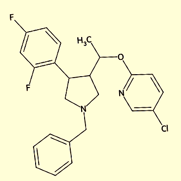 CC(Oc1ccc(Cl)cn1)C1CN(Cc2ccccc2)CC1c1ccc(F)cc1F